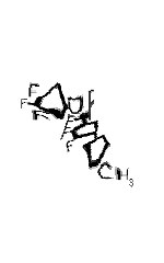 CC1CC=C(c2ccc(C(F)(F)Oc3cc(F)c(F)c(F)c3)c(F)c2F)CC1